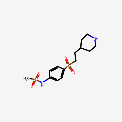 CS(=O)(=O)Nc1ccc(S(=O)(=O)CCC2CCNCC2)cc1